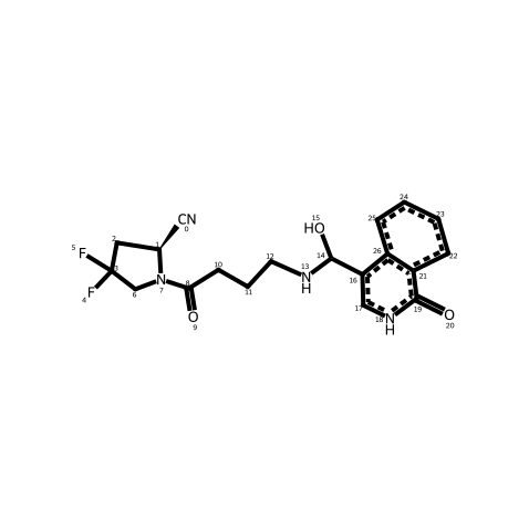 N#C[C@@H]1CC(F)(F)CN1C(=O)CCCNC(O)c1c[nH]c(=O)c2ccccc12